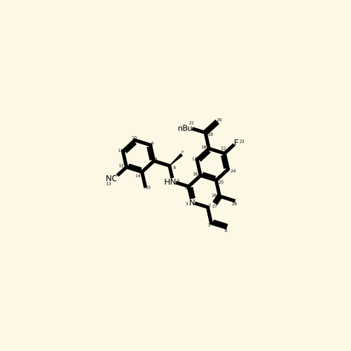 C=CC/N=C(/N[C@H](C)c1cccc(C#N)c1C)c1cc(C(=C)CCCC)c(F)cc1C(=C)C